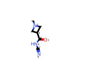 CN1CC(C(=O)NC#N)C1